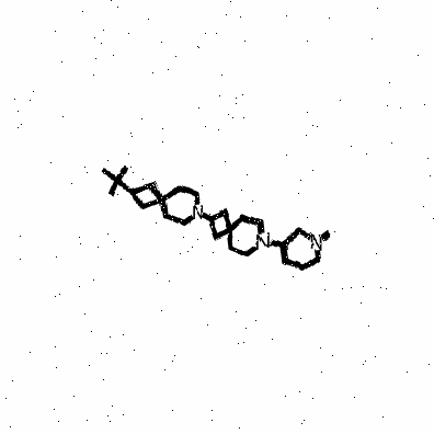 CN1CCCC(N2CCC3(CC2)CC(N2CCC4(CC2)CC(C(C)(C)C)C4)C3)C1